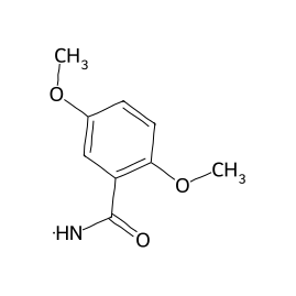 COc1ccc(OC)c(C([NH])=O)c1